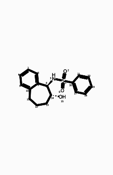 O=S(=O)(N[C@@H]1c2ccccc2CCC[C@H]1O)c1ccccc1